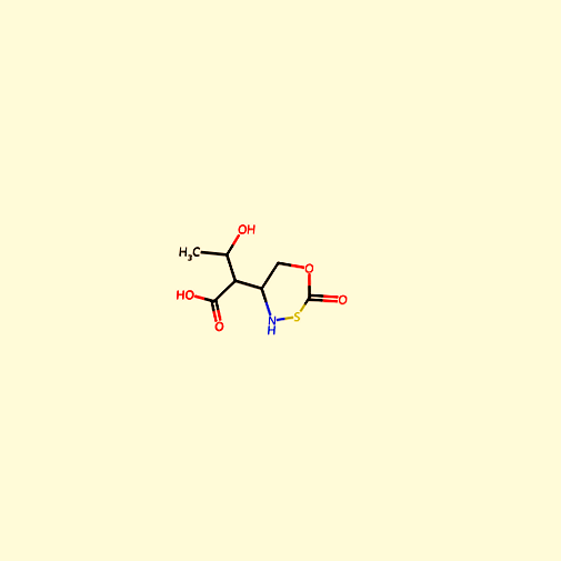 CC(O)C(C(=O)O)C1COC(=O)SN1